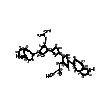 O=C(O)Cc1cc(-c2ccc3[nH]ccc3c2)sc1-c1ccc(-c2sc(-c3ccc4[nH]ccc4c3)cc2CC(=O)O)s1